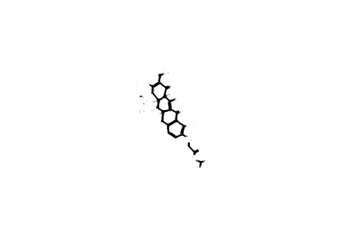 CC(C)NC(=O)CNc1ccc2c(c1O)C(=O)C1=C(O)[C@@]3(O)C(=O)C(C(N)=O)=C(O)[C@@H](N(C)C)[C@H]3[C@H](O)[C@H]1[C@@H]2C